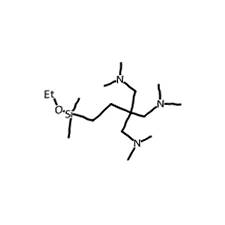 CCO[Si](C)(C)CCC(CN(C)C)(CN(C)C)CN(C)C